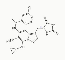 CC(Nc1cc2c(/C=C3\NC(=O)NC3=O)cnn2c(NC2CC2)c1C#N)c1cccc(Cl)c1